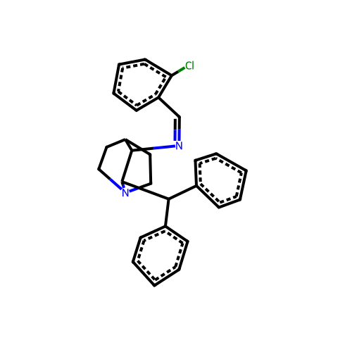 Clc1ccccc1/C=N\C1C2CCN(CC2)C1C(c1ccccc1)c1ccccc1